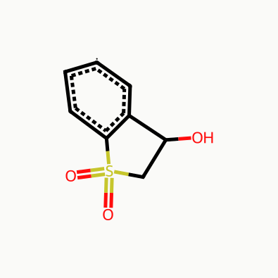 O=S1(=O)CC(O)c2c[c]ccc21